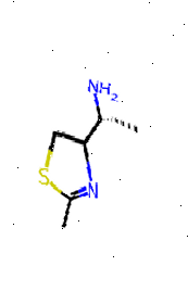 CC1=NC([C@@H](C)N)CS1